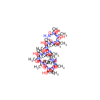 CCC(C)NCC(=O)N(CC(=O)N(CC(=O)N(CC(=O)N(CC(=O)N(CC(=O)N(CC(=O)N(CC(=O)N(CC(=O)N(CC(=O)N(CC(=O)N(CC(=O)N(CC(=O)N(CC(=O)N(CC(=O)N(CC(N)=O)CC(C)O)CC(C)O)CC(C)O)C(C)CC)CC(C)O)CC(C)O)CC(C)O)C(C)CC)CC(C)O)CC(C)O)CC(C)O)C(C)CC)CC(C)O)CC(C)O)CC(C)O